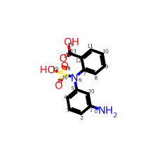 Nc1cccc(N(c2ccccc2C(=O)O)S(=O)(=O)O)c1